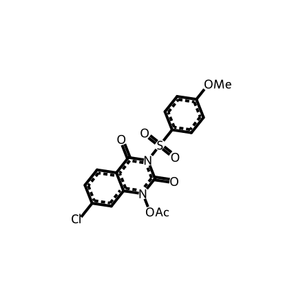 COc1ccc(S(=O)(=O)n2c(=O)c3ccc(Cl)cc3n(OC(C)=O)c2=O)cc1